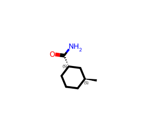 C[C@H]1CCC[C@H](C(N)=O)C1